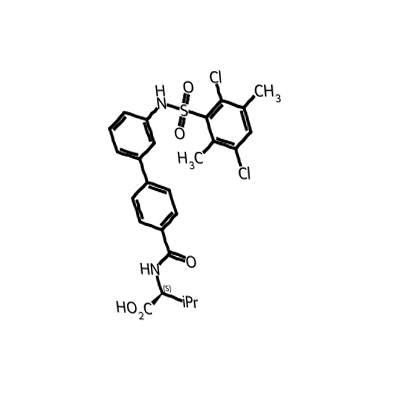 Cc1cc(Cl)c(C)c(S(=O)(=O)Nc2cccc(-c3ccc(C(=O)N[C@H](C(=O)O)C(C)C)cc3)c2)c1Cl